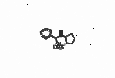 CCOC(=O)[C@H]1CCC[C@@H]1N[C@@H](C)c1ccccc1